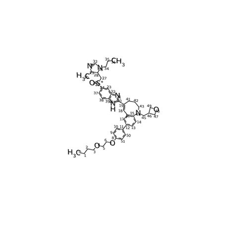 CCCCOCCOc1ccc(-c2ccc3c(c2)/C=C(/c2nc4cc([S@@+]([O-])CC5C(C)N=CN5CCC)ccc4[nH]2)CCCN3CC2COC2)cc1